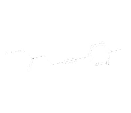 COC(=O)CCC#Cc1cnc(Cl)nc1